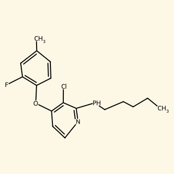 CCCCCPc1nccc(Oc2ccc(C)cc2F)c1Cl